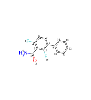 NC(=O)c1c(F)ccc(-c2ccccc2)c1F